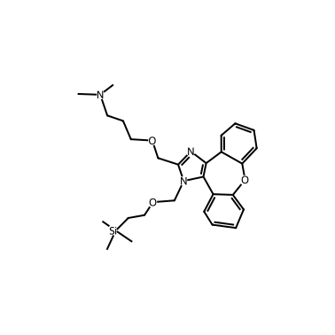 CN(C)CCCOCc1nc2c(n1COCC[Si](C)(C)C)-c1ccccc1Oc1ccccc1-2